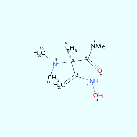 C=C(NO)[C@](C)(C(=O)NC)N(C)C